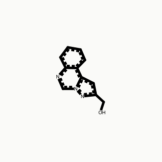 OCc1cc2c3ccccc3ncn2n1